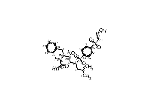 CC(C)CN(C[C@@H](O)[C@H](Cc1ccccc1)NC(=O)O)S(=O)(=O)c1ccc(S(=O)(=O)C=NO)cc1